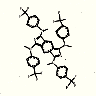 CN(C1=NC(N(C)c2ccc(C(F)(F)F)cc2)=c2cc3c(cc21)=C(N(C)c1ccc(C(F)(F)F)cc1)N=C3N(C)c1ccc(C(F)(F)F)cc1)c1ccc(C(F)(F)F)cc1